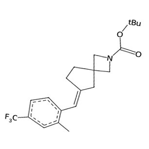 Cc1cc(C(F)(F)F)ccc1C=C1CCC2(C1)CN(C(=O)OC(C)(C)C)C2